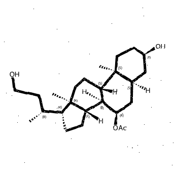 CC(=O)O[C@@H]1C[C@@H]2C[C@H](O)CC[C@]2(C)[C@H]2CC[C@]3(C)[C@@H]([C@H](C)CCO)CC[C@H]3[C@H]12